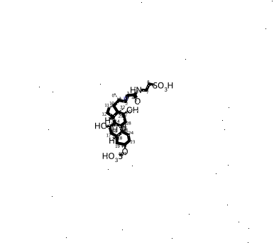 C[C@H](/C=C/C(=O)NCCS(=O)(=O)O)[C@H]1CC[C@H]2[C@@H]3[C@H](O)C[C@@H]4C[C@H](OS(=O)(=O)O)CC[C@]4(C)[C@H]3C[C@H](O)[C@]12C